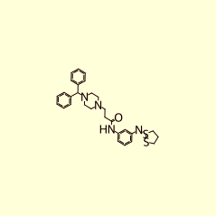 O=C(CCN1CCN(C(c2ccccc2)c2ccccc2)CC1)Nc1cccc(N=S2CCCS2)c1